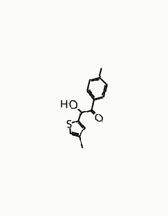 Cc1ccc(C(=O)C(O)c2cc(C)cs2)cc1